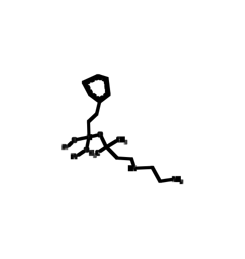 CC(C)O[Si](CCc1ccccc1)(OC(C)C)OC(C)(C)CCNCCN